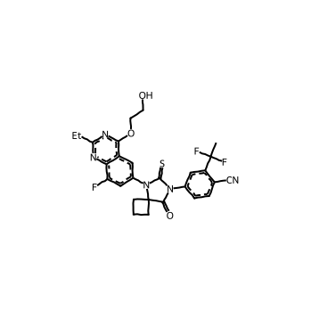 CCc1nc(OCCO)c2cc(N3C(=S)N(c4ccc(C#N)c(C(C)(F)F)c4)C(=O)C34CCC4)cc(F)c2n1